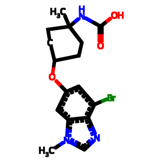 Cn1cnc2c(Br)cc(OC3CCC(C)(NC(=O)O)CC3)cc21